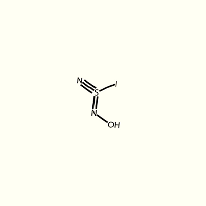 N#S(I)=NO